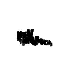 COc1c([C@H]2[C@H](C(=O)Nc3cccc(C(=O)N4CCN(C)CC4)n3)O[C@@](C)(C(F)(F)F)[C@H]2C)ccc(F)c1F